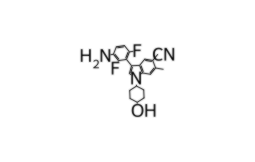 Cc1cc2c(cc1C#N)c(-c1c(F)ccc(N)c1F)cn2C1CCC(O)CC1